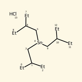 CCC(CC)[CH2][Sn]([CH2]C(CC)CC)[CH2]C(CC)CC.Cl